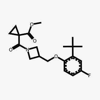 COC(=O)C1(C(=O)N2CC(COc3ccc(F)cc3C(C)(C)C)C2)CC1